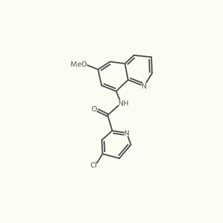 COc1cc(NC(=O)c2cc(Cl)ccn2)c2ncccc2c1